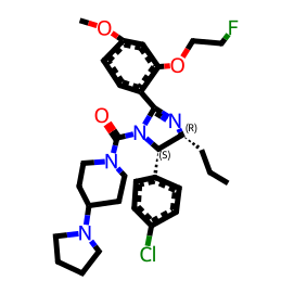 CCC[C@H]1N=C(c2ccc(OC)cc2OCCF)N(C(=O)N2CCC(N3CCCC3)CC2)[C@H]1c1ccc(Cl)cc1